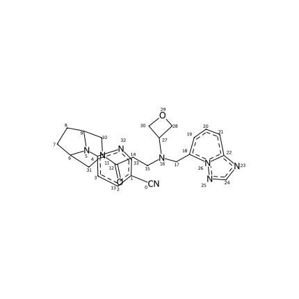 N#Cc1ccc(N2C3CCC2CN(C(=O)CCN(Cc2cccc4ncnn24)C2COC2)C3)nc1